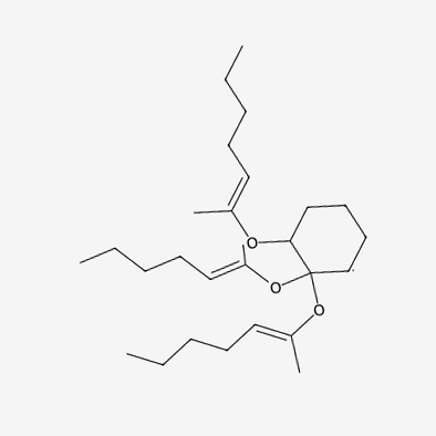 CCCCC=C(C)OC1CCC[CH]C1(OC(C)=CCCCC)OC(C)=CCCCC